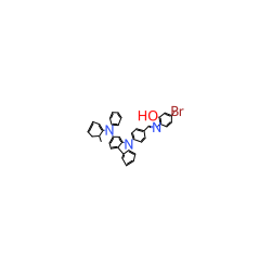 CC1CC=CC=C1N(c1ccccc1)c1ccc2c3ccccc3n(-c3ccc(/C=N/c4ccc(Br)cc4O)cc3)c2c1